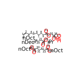 CCCCCCCC/C=C\CCCCCCCC(=O)OCC(O)CO.CCCCCCCCCCCCCC(=O)OC(C)C.CCCCCCCCOC(=O)CCCCC(=O)OCCCCCCCC